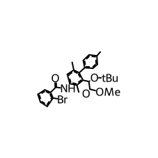 COC(=O)[C@@H](OC(C)(C)C)c1c(C)c(NC(=O)c2ccccc2Br)cc(C)c1-c1ccc(C)cc1